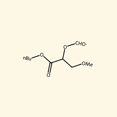 CCCCOC(=O)C(COC)O[C]=O